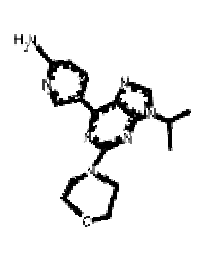 CC(C)n1cnc2c(-c3ccc(N)nc3)nc(N3CCOCC3)nc21